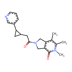 Cc1c2c(c(=O)n(C)c1C)CN(C(=O)CC1CC1c1cccnc1)C2